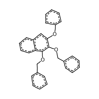 c1ccc(COc2c(Oc3ccccc3)cc3ccccc3c2OCc2ccccc2)cc1